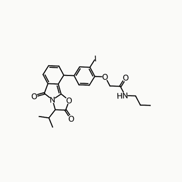 CCCNC(=O)COc1ccc(C2C=CC=C3C(=O)N4C(=C32)OC(=O)C4C(C)C)cc1I